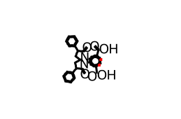 O=C(O)c1cccc(N2C(=O)C(c3ccccc3)CC23CC(c2ccccc2)C(=O)N3c2cccc(C(=O)O)c2)c1